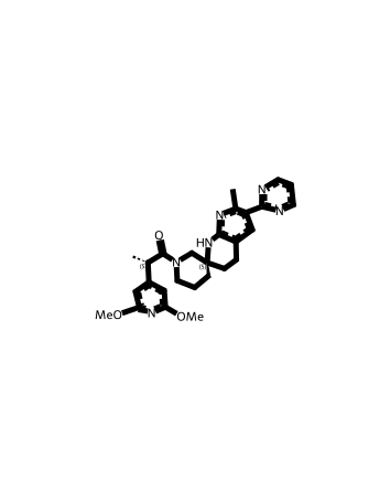 COc1cc([C@H](C)C(=O)N2CCC[C@@]3(CCc4cc(-c5ncccn5)c(C)nc4N3)C2)cc(OC)n1